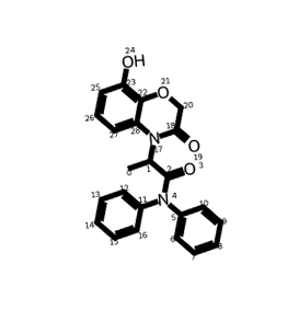 CC(C(=O)N(c1ccccc1)c1ccccc1)N1C(=O)COc2c(O)cccc21